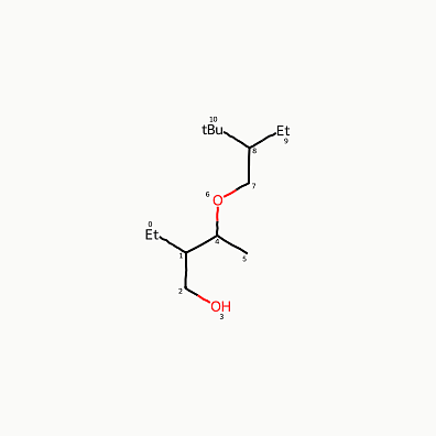 CCC(CO)C(C)OCC(CC)C(C)(C)C